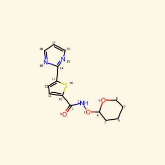 O=C(NOC1CCCCO1)c1ccc(-c2ncccn2)s1